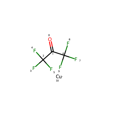 O=C(C(F)(F)F)C(F)(F)F.[Cu]